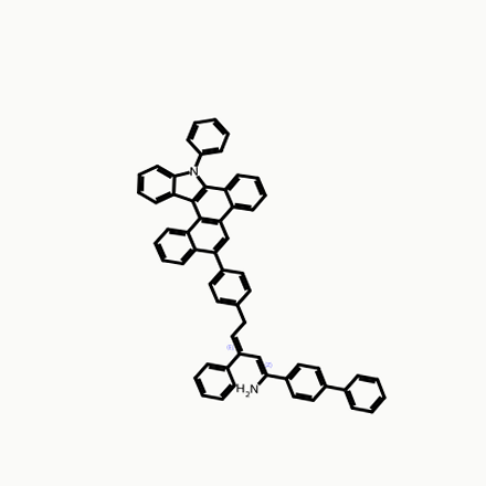 N/C(=C\C(=C/Cc1ccc(-c2cc3c4ccccc4c4c(c5ccccc5n4-c4ccccc4)c3c3ccccc23)cc1)c1ccccc1)c1ccc(-c2ccccc2)cc1